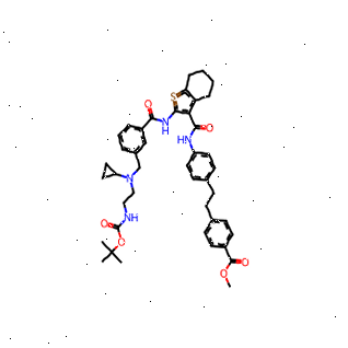 COC(=O)c1ccc(CCc2ccc(NC(=O)c3c(NC(=O)c4cccc(CN(CCNC(=O)OC(C)(C)C)C5CC5)c4)sc4c3CCCC4)cc2)cc1